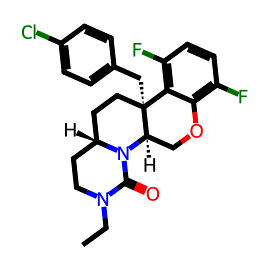 CCN1CC[C@@H]2CC[C@@]3(Cc4ccc(Cl)cc4)c4c(F)ccc(F)c4OC[C@H]3N2C1=O